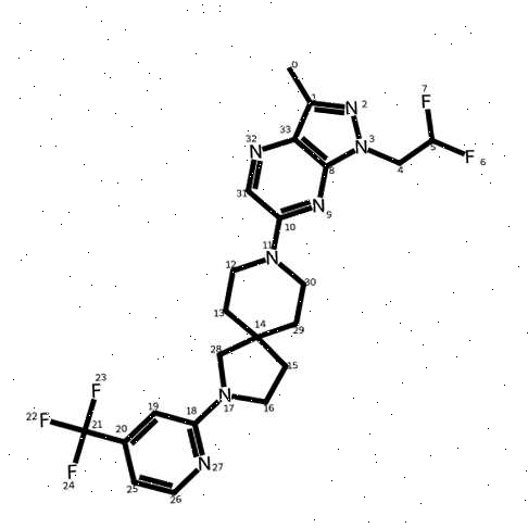 Cc1nn(CC(F)F)c2nc(N3CCC4(CCN(c5cc(C(F)(F)F)ccn5)C4)CC3)cnc12